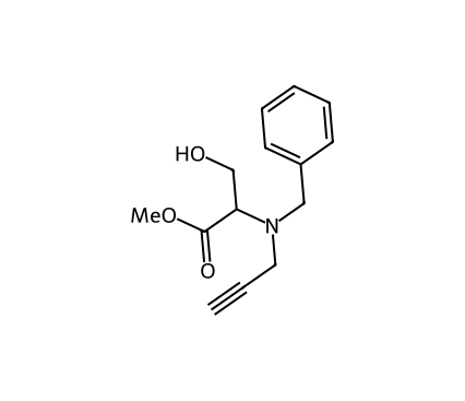 C#CCN(Cc1ccccc1)C(CO)C(=O)OC